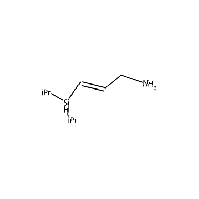 CC(C)[SiH](C=CCN)C(C)C